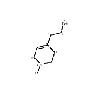 CN1CC=C(CCO)CC1